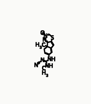 CNC(=NC#N)NC1=CCC2(C)C(=C1)C=C1SC[N+](=O)N=C12